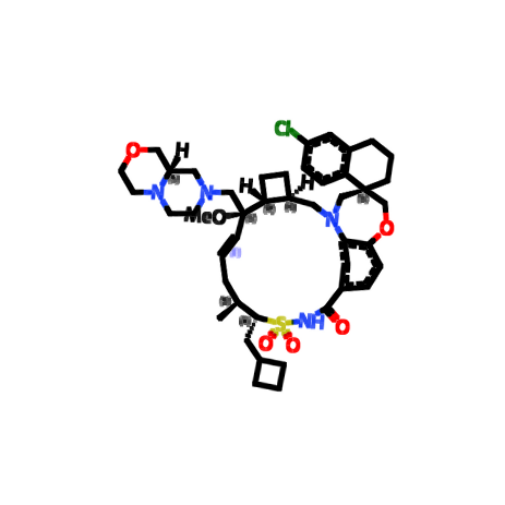 CO[C@]1(CN2CCN3CCOC[C@@H]3C2)/C=C/C[C@H](C)[C@@H](CC2CCC2)S(=O)(=O)NC(=O)c2ccc3c(c2)N(C[C@@H]2CC[C@H]21)C[C@@]1(CCCc2cc(Cl)ccc21)CO3